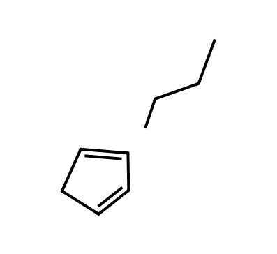 C1=CCC=C1.CCCC